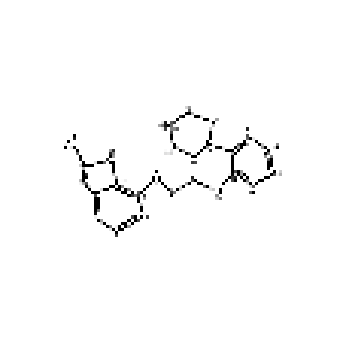 CC(=O)c1cc2cccc(OCCOc3nccnc3N3CCNCC3)c2o1